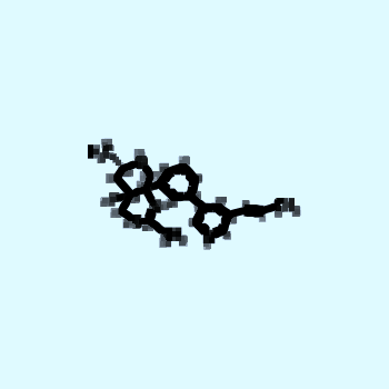 CC#Cc1cncc(-c2cccc([C@]34CO[C@@H](C)C[C@@]3(F)CSC(N)=N4)c2)c1